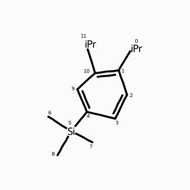 CC(C)c1ccc([Si](C)(C)C)cc1C(C)C